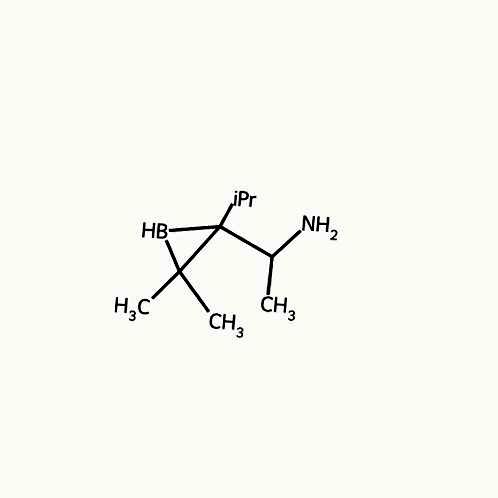 CC(C)C1(C(C)N)BC1(C)C